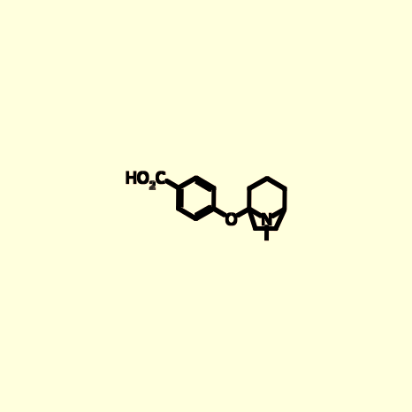 CN1C2CCCC1(Oc1ccc(C(=O)O)cc1)CC2